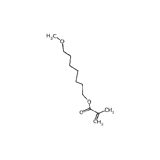 C=C(C)C(=O)OCCCCCCCOC